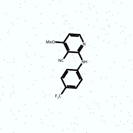 COc1ccnc(Nc2ccc(C(F)(F)F)cc2)c1C#N